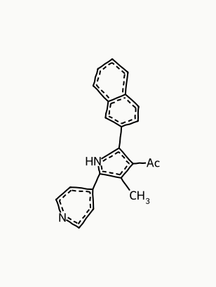 CC(=O)c1c(-c2ccc3ccccc3c2)[nH]c(-c2ccncc2)c1C